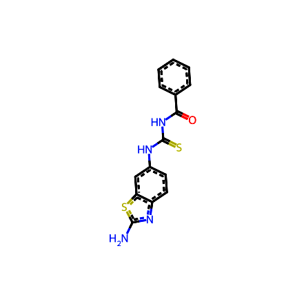 Nc1nc2ccc(NC(=S)NC(=O)c3ccccc3)cc2s1